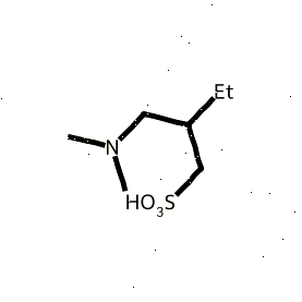 CCC(CN(C)C)CS(=O)(=O)O